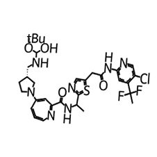 CC(NC(=O)C1=NC=C=CC(N2CC[C@H](CNC(O)OC(C)(C)C)C2)=C1)c1ncc(CC(=O)Nc2cc(C(C)(F)F)c(Cl)cn2)s1